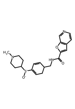 CN1CCC([S+]([O-])C2=CCC(CNC(=O)c3cc4ccncc4o3)C=C2)CC1